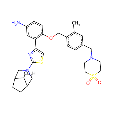 Cc1cc(CN2CCS(=O)(=O)CC2)ccc1COc1ccc(N)cc1-c1csc(N2CC3CCC(C2)C3C(=O)O)n1